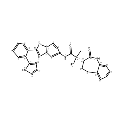 CC(C)C(C)(C(=O)Nc1ccc2oc(-c3ccccc3-c3nnn[nH]3)nc2c1)[C@H]1CCc2ccccc2NC1=O